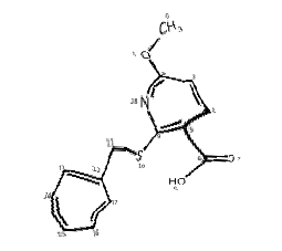 COc1ccc(C(=O)O)c(SCc2ccccc2)n1